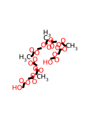 CC(OC(=O)COC(=O)CO)C(=O)OCC(=O)OC(C)C(=O)OCCOC(=O)C(C)OC(=O)COC(=O)C(C)OC(=O)COC(=O)CO